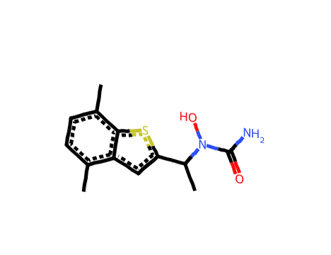 Cc1ccc(C)c2sc(C(C)N(O)C(N)=O)cc12